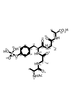 CC(=O)N[C@@H](C)C(=O)N[C@@H](C)C(=O)N[C@@H](Cc1ccc(OP(=O)(O)O)cc1)C(=O)N[C@@H](C)C(=O)N[C@@H](C)C(=O)O